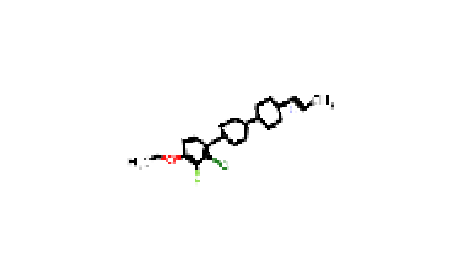 C/C=C/C1CCC(C2CCC(c3ccc(OCC)c(F)c3Cl)CC2)CC1